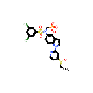 CC[S+]([O-])c1ccnc(-n2ccc3cc(N(CP(=O)(O)O)S(=O)(=O)c4cc(Cl)cc(Cl)c4)ccc32)c1